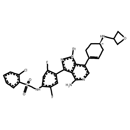 CCn1nc(-c2cc(F)c(NS(=O)(=O)c3ccccc3Cl)cc2F)c2c(N)ncc(C3=CC[C@H](NC4COC4)CC3)c21